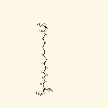 C=CNCCCCCCCCCCCOCCC(=C)N